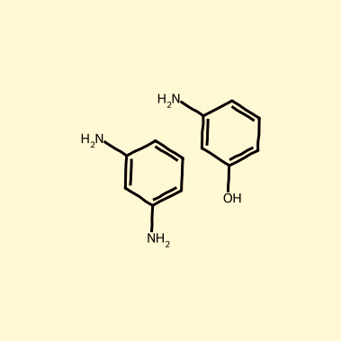 Nc1cccc(N)c1.Nc1cccc(O)c1